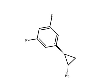 CC[C@H]1C[C@@H]1c1cc(F)cc(F)c1